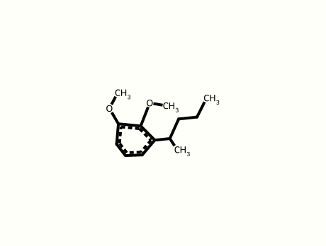 CCCC(C)c1cccc(OC)c1OC